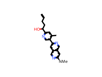 C=CCCC(O)c1cc(C)c(-c2cc3cnc(NC)cc3cn2)cn1